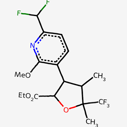 CCOC(=O)C1OC(C)(C(F)(F)F)C(C)C1c1ccc(C(F)F)nc1OC